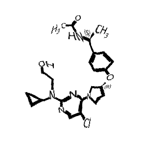 CC(=O)N[C@@H](C)c1ccc(O[C@@H]2CCN(c3nc(N(CCO)C4CC4)ncc3Cl)C2)cc1